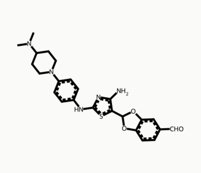 CN(C)C1CCN(c2ccc(Nc3nc(N)c(C4Oc5ccc(C=O)cc5O4)s3)cc2)CC1